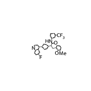 COc1ccccc1CC(C(=O)Nc1cccc(C(F)(F)F)c1)c1ccc(-c2ccnc3ccc(F)cc23)cc1